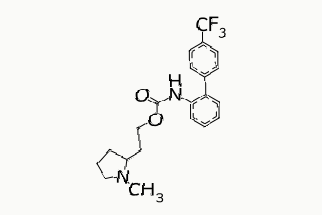 CN1CCCC1CCOC(=O)Nc1ccccc1-c1ccc(C(F)(F)F)cc1